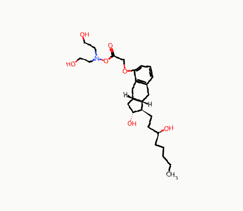 CCCCC[C@H](O)CC[C@@H]1[C@H]2Cc3cccc(OCC(=O)ON(CCO)CCO)c3C[C@H]2C[C@H]1O